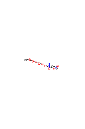 CCCOCCOCCOCCOCCOCCOCCNC(=O)c1ccc(CN2C(=O)C=CC2=O)cc1